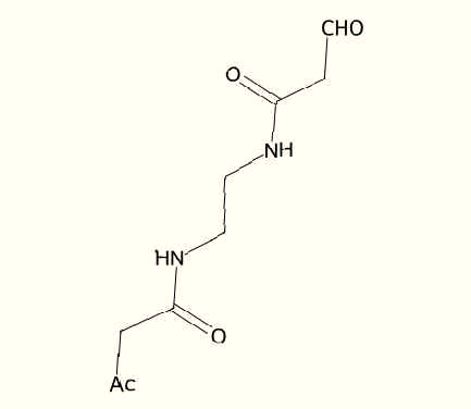 CC(=O)CC(=O)NCCNC(=O)CC=O